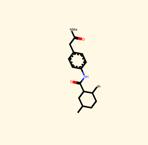 CNC(=O)Cc1ccc(NC(=O)C2CC(C)CCC2C(C)C)cc1